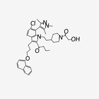 CCCC(=O)c1c(CCCOc2cccc3ccccc23)c2ccc(Cl)c(-c3c(C)nn(C)c3C)c2n1CCC1CCN(C(=O)CO)CC1